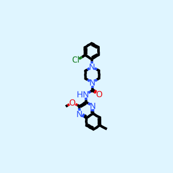 COc1nc2ccc(C)cc2nc1NC(=O)N1CCN(c2ccccc2Cl)CC1